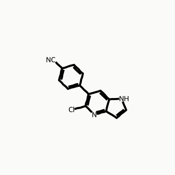 N#Cc1ccc(-c2cc3[nH]ccc3nc2Cl)cc1